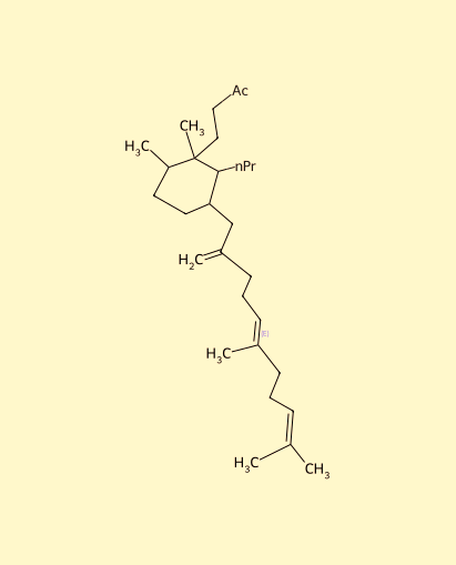 C=C(CC/C=C(\C)CCC=C(C)C)CC1CCC(C)C(C)(CCC(C)=O)C1CCC